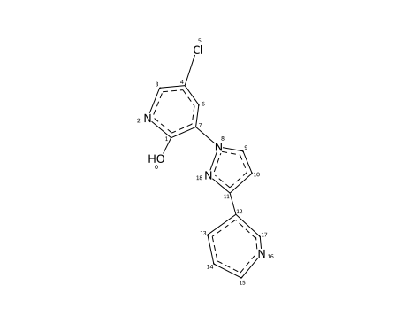 Oc1ncc(Cl)cc1-n1ccc(-c2cccnc2)n1